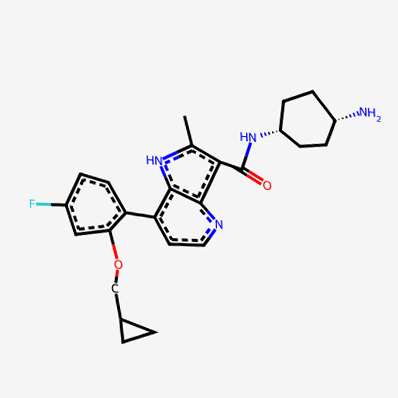 Cc1[nH]c2c(-c3ccc(F)cc3OCC3CC3)ccnc2c1C(=O)N[C@H]1CC[C@@H](N)CC1